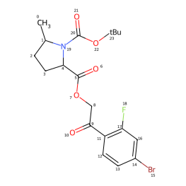 CC1CCC(C(=O)OCC(=O)c2ccc(Br)cc2F)N1C(=O)OC(C)(C)C